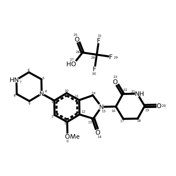 COc1cc(N2CCNCC2)cc2c1C(=O)N(C1CCC(=O)NC1=O)C2.O=C(O)C(F)(F)F